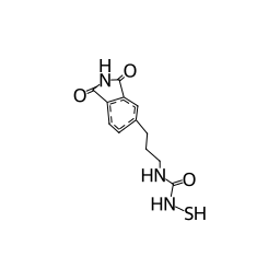 O=C(NS)NCCCc1ccc2c(c1)C(=O)NC2=O